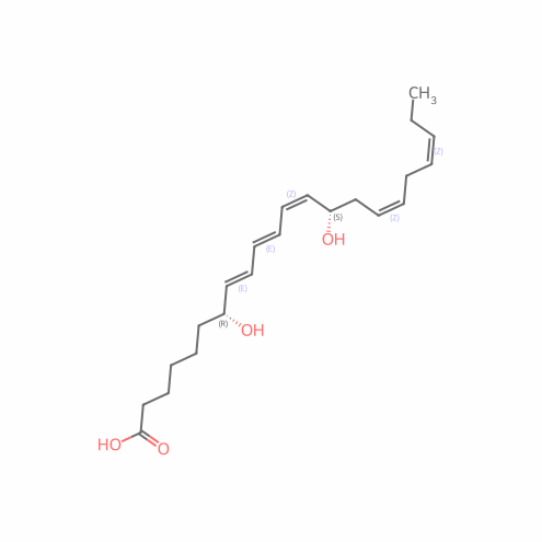 CC/C=C\C/C=C\C[C@H](O)\C=C/C=C/C=C/[C@H](O)CCCCCC(=O)O